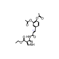 CCOC(=O)c1c[nH]nc1NC(=O)/C=C/c1ccc(OC(C)=O)c(OC(C)=O)c1